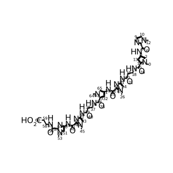 Cn1cc(NC(=O)c2nccn2C)cc1C(=O)NCCC(=O)Nc1cn(C)c(C(=O)Nc2cc(C(=O)NCCC(=O)Nc3cn(C)c(C(=O)Nc4cn(C)c(C(=O)NCCC(=O)O)n4)n3)n(C)c2)n1